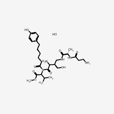 COC(=O)C(C(C)C)N(C(=O)CCCCCc1ccc(O)cc1)C(=O)C(N)C(CO)CNC(=O)[C@H](C)NC(=O)CCN.Cl